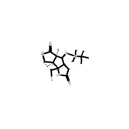 CC(C)(C)[Si](C)(C)OC1C2CC(=O)OC2(CI)[C@@]2(C)COC(=O)[C@@]12C